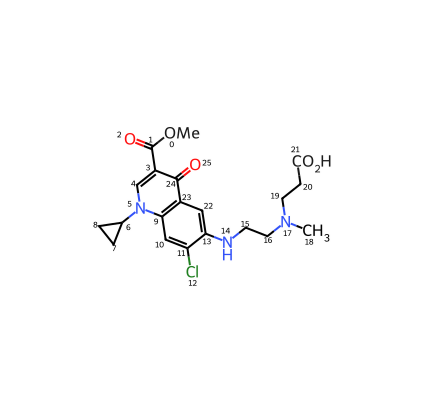 COC(=O)c1cn(C2CC2)c2cc(Cl)c(NCCN(C)CCC(=O)O)cc2c1=O